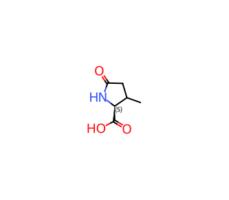 CC1CC(=O)N[C@@H]1C(=O)O